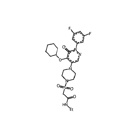 CCNC(=O)CS(=O)(=O)N1CCN(c2cnn(-c3cc(F)cc(F)c3)c(=O)c2OC2CCCCC2)CC1